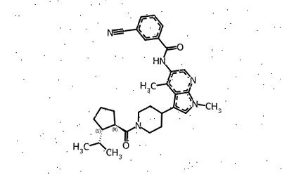 Cc1c(NC(=O)c2cccc(C#N)c2)cnc2c1c(C1CCN(C(=O)[C@@H]3CCC[C@H]3C(C)C)CC1)cn2C